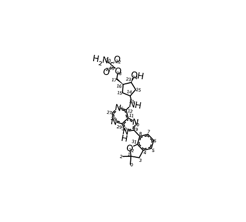 CC1(C)Cc2cccc(-c3nc4c(NC5C[C@@H](COS(N)(=O)=O)[C@@H](O)C5)ncnc4[nH]3)c2O1